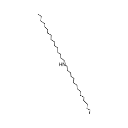 CCCCCCCCCCCCCCCCNCCCCCCCCCCCCCCCC